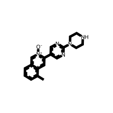 Cc1cccc2c[n+]([O-])c(-c3cnc(N4CCNCC4)nc3)cc12